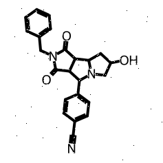 N#Cc1ccc(C2C3C(=O)N(Cc4ccccc4)C(=O)C3C3CC(O)CN32)cc1